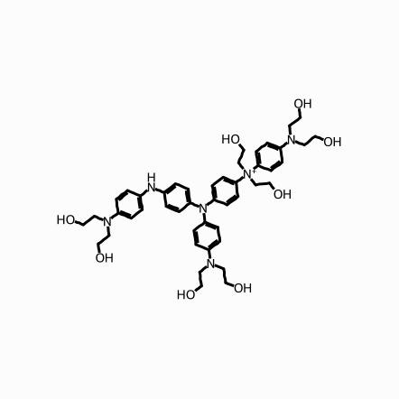 OCCN(CCO)c1ccc(Nc2ccc(N(c3ccc(N(CCO)CCO)cc3)c3ccc([N+](CCO)(CCO)c4ccc(N(CCO)CCO)cc4)cc3)cc2)cc1